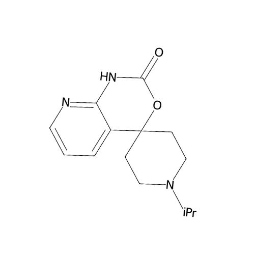 CC(C)N1CCC2(CC1)OC(=O)Nc1ncccc12